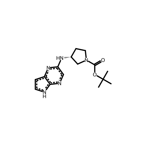 CC(C)(C)OC(=O)N1CC[C@@H](Nc2cnc3[nH]ccc3n2)C1